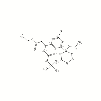 CCOC(=O)CC(NC(=O)OC(C)(C)C)c1cc(Cl)cc(C2(COC)CCOCC2)c1